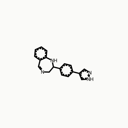 C1=NCC(c2ccc(-c3cn[nH]c3)cc2)Nc2ccccc21